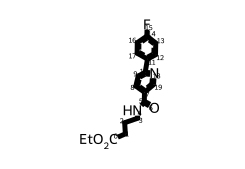 CCOC(=O)CCCNC(=O)c1ccc(-c2ccc(F)cc2)nc1